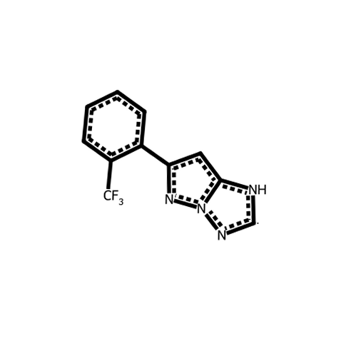 FC(F)(F)c1ccccc1-c1cc2[nH][c]nn2n1